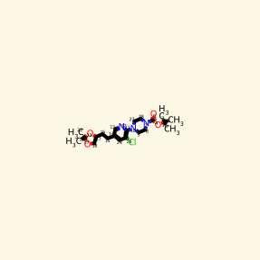 CC(C)(C)OC(=O)N1CCN(c2ncc(CCC3COC(C)(C)O3)cc2Cl)CC1